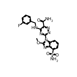 COc1nc2c(S(N)(=O)=O)cccc2n1-c1nnc(C(N)=O)c(NCc2cccc(F)c2)n1